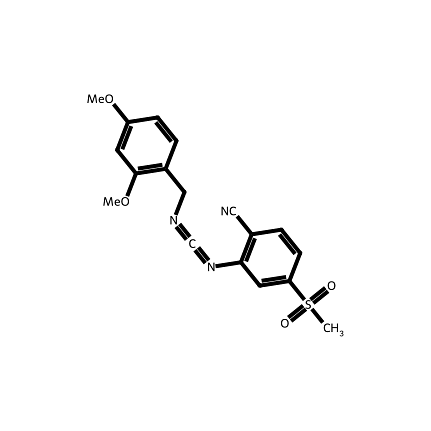 COc1ccc(CN=C=Nc2cc(S(C)(=O)=O)ccc2C#N)c(OC)c1